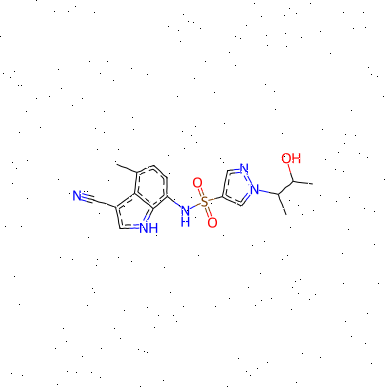 Cc1ccc(NS(=O)(=O)c2cnn(C(C)C(C)O)c2)c2[nH]cc(C#N)c12